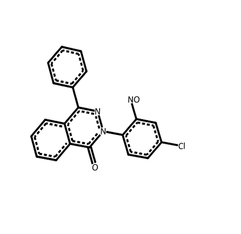 O=Nc1cc(Cl)ccc1-n1nc(-c2ccccc2)c2ccccc2c1=O